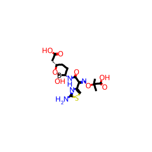 CC(C)(O/N=C(/C(=O)N[C@H]1CC[C@@H](CC(=O)O)OB1O)c1csc(N)n1)C(=O)O